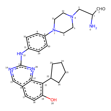 NC(C=O)CN1CCN(c2ccc(Nc3ncc4ccc(O)c(C5CCCC5)c4n3)cc2)CC1